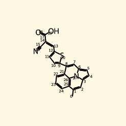 Cc1cc2ccc3cc(-c4ccc(/C=C(\C#N)C(=O)O)s4)c4cccc1c4n23